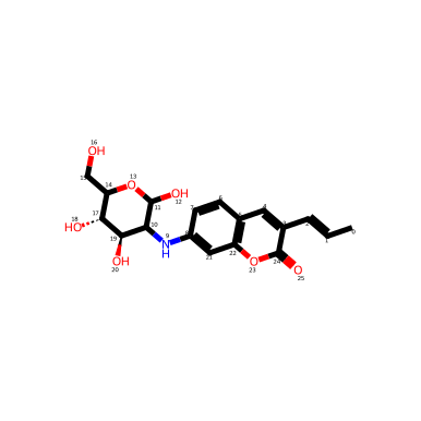 C/C=C/c1cc2ccc(NC3C(O)OC(CO)[C@@H](O)[C@@H]3O)cc2oc1=O